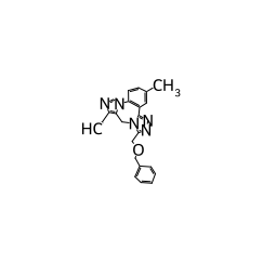 C#Cc1ncn2c1Cn1c(COCc3ccccc3)nnc1-c1cc(C)ccc1-2